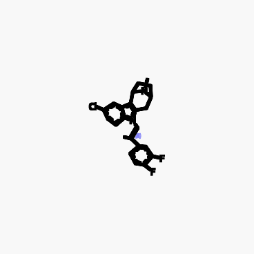 C/C(=C\n1c2c(c3cc(Cl)ccc31)C1CCC(C2)N1C)c1ccc(F)c(F)c1